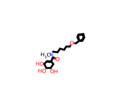 CN(CCCCCCOCc1ccccc1)C(=O)C1=C[C@@H](O)[C@@H](O)[C@H](O)C1